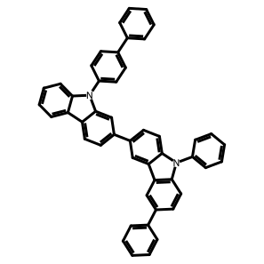 c1ccc(-c2ccc(-n3c4ccccc4c4ccc(-c5ccc6c(c5)c5cc(-c7ccccc7)ccc5n6-c5ccccc5)cc43)cc2)cc1